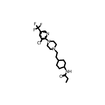 CCC(=O)NC1CCC(CCN2CCN(c3ncc(C(F)(F)F)cc3Cl)CC2)CC1